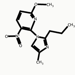 CCCc1nc(C)cn1-c1nc(OC)ccc1[N+](=O)[O-]